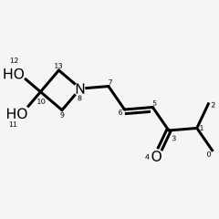 CC(C)C(=O)/C=C/CN1CC(O)(O)C1